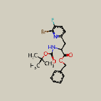 CC(C)(C)OC(=O)NC(Cc1ccc(F)c(Br)n1)C(=O)OCc1ccccc1